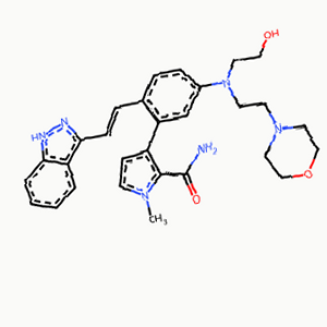 Cn1ccc(-c2cc(N(CCO)CCN3CCOCC3)ccc2C=Cc2n[nH]c3ccccc23)c1C(N)=O